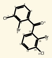 O=C(c1cccc(Cl)c1Br)c1cccc(Cl)c1Br